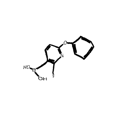 OB(O)c1ccc(Oc2ccccc2)nc1F